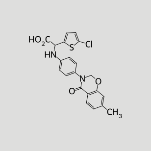 Cc1ccc2c(c1)OCN(c1ccc(NC(C(=O)O)c3ccc(Cl)s3)cc1)C2=O